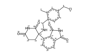 Cc1cc(CCl)ccc1CNC1(c2cccc3c2C(=O)NC3=O)CCC(=O)NC1=O